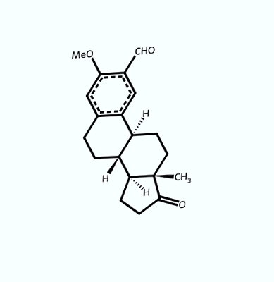 COc1cc2c(cc1C=O)[C@H]1CC[C@]3(C)C(=O)CC[C@H]3[C@@H]1CC2